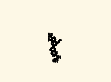 CCCC(CC(=O)N1CCc2cnc(NC(C)CO)nc2C1)c1ccc(C(F)(F)F)c(F)c1